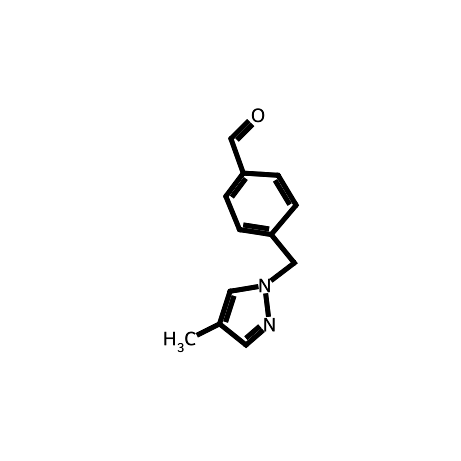 Cc1cnn(Cc2ccc(C=O)cc2)c1